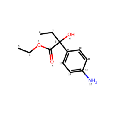 CCOC(=O)C(O)(CC)c1ccc(N)cc1